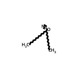 CCCCCCCCCCCCCC(CCCCCCCCCCC)C(=O)n1ccnc1